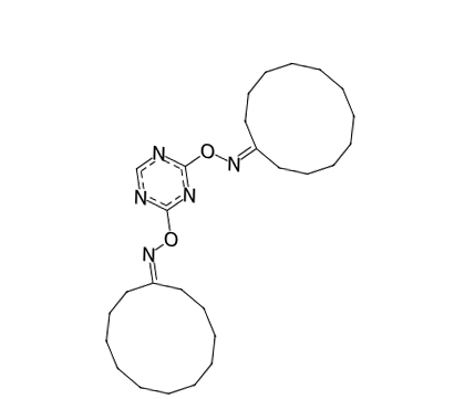 c1nc(ON=C2CCCCCCCCCCC2)nc(ON=C2CCCCCCCCCCC2)n1